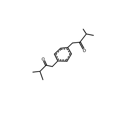 CC(C)C(=O)Cc1ccc(CC(=O)C(C)C)cc1